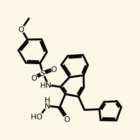 COc1ccc(S(=O)(=O)Nc2c(C(=O)NO)c(Cc3ccccc3)cc3ccccc23)cc1